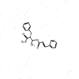 CC(C)COC(=O)C(Cc1ccccc1)C(C)OC(=O)/C=C/c1ccccc1